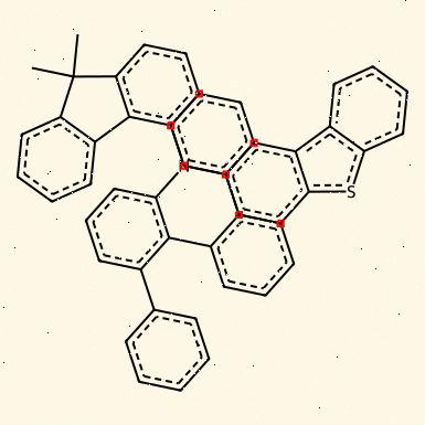 CC1(C)c2ccccc2-c2c(N(c3ccc4sc5ccccc5c4c3)c3cccc(-c4ccccc4)c3-c3ccccc3-c3ccccc3)cccc21